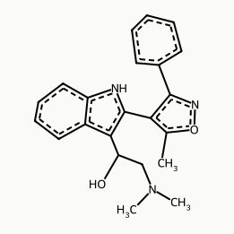 Cc1onc(-c2ccccc2)c1-c1[nH]c2ccccc2c1C(O)CN(C)C